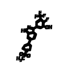 CS(=O)(=O)N1CC=C(c2ccc3c(-c4cc(O)c(F)c(C(F)(F)F)c4)n[nH]c3c2)CC1